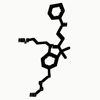 CC1(C)C(/C=C/Nc2ccccc2)=[N+](CCCS(=O)(=O)O)c2ccc(SOOO)cc21